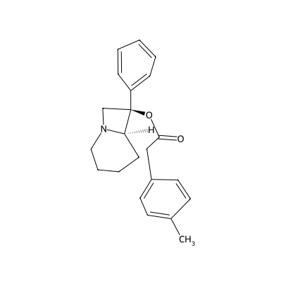 Cc1ccc(CC(=O)O[C@]2(c3ccccc3)CN3CCCC[C@@H]32)cc1